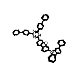 c1ccc(-c2ccc(-c3nc(-c4ccc(-c5ccccc5)cc4)nc(-c4ccc5c(c4)oc4cc(-n6c7ccccc7c7ccc(-c8ccccc8)cc76)ccc45)n3)cc2)cc1